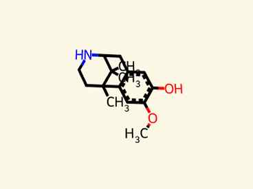 COc1cc2c(cc1O)CC1NCCC2(C)C1(C)C